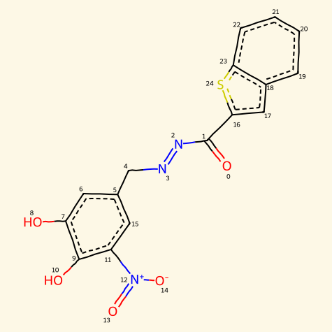 O=C(/N=N/Cc1cc(O)c(O)c([N+](=O)[O-])c1)c1cc2ccccc2s1